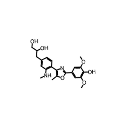 CNc1cc(CC(O)CO)ccc1-c1nc(-c2cc(OC)c(O)c(OC)c2)oc1C